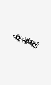 Fc1ccc(OCc2cn3cc(-c4ccnc(F)c4)cnc3n2)cc1